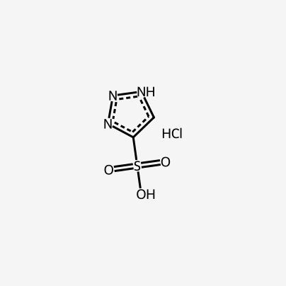 Cl.O=S(=O)(O)c1c[nH]nn1